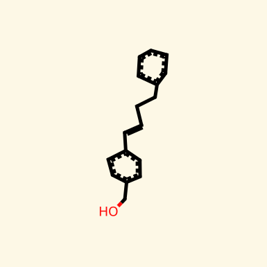 OCc1ccc(C=CCCc2ccccc2)cc1